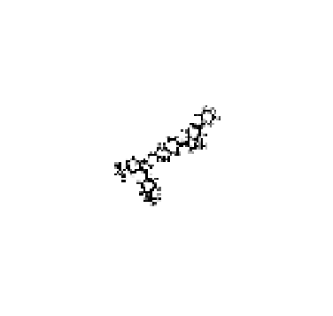 CS(=O)(=O)N1CCc2c(c(-c3ccc(C(F)(F)F)cc3)nn2CC(O)CN2CCC(c3c[nH]c4cc(N5CCOCC5)ncc34)CC2)C1